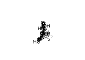 C[C@@H](NC(=O)[C@@H](N)Cc1ccc(O)cc1)C(=O)NCC(=O)NC(CO)Cc1ccccc1